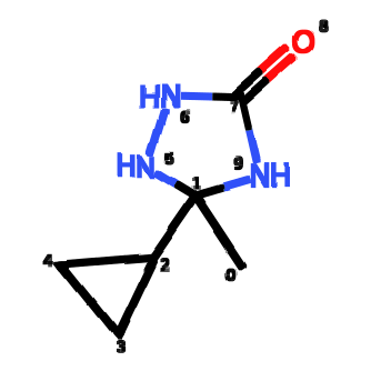 CC1(C2CC2)NNC(=O)N1